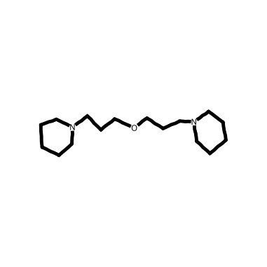 C1CCN(CCCOCCCN2CCCCC2)CC1